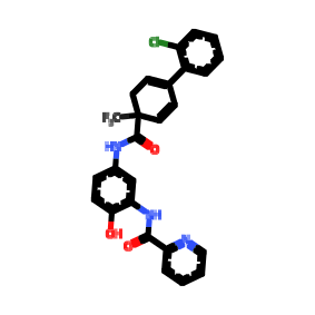 O=C(Nc1cc(NC(=O)C2(C(F)(F)F)C=CC(c3ccccc3Cl)=CC2)ccc1O)c1ccccn1